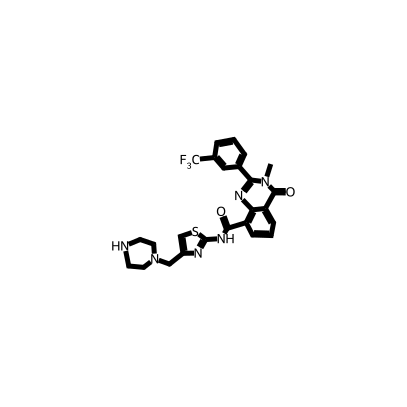 Cn1c(-c2cccc(C(F)(F)F)c2)nc2c(C(=O)Nc3nc(CN4CCNCC4)cs3)cccc2c1=O